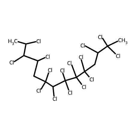 CC(Cl)C(Cl)C(Cl)CC(Cl)(Cl)C(Cl)C(Cl)(Cl)C(Cl)(Cl)C(Cl)(Cl)CC(Cl)C(C)(Cl)Cl